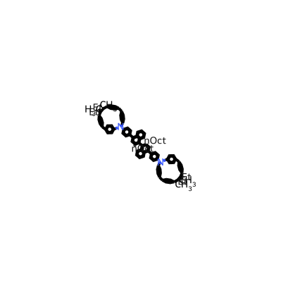 CCCCCCCCc1cc(-c2ccc(N3c4ccc(cc4)-c4ccc(cc4)C(C)(CC)C(C)(CC)c4ccc(cc4)-c4ccc3cc4)cc2)c2ccccc2c1-c1c(CCCCCCCC)cc(-c2ccc(N3c4ccc(cc4)-c4ccc(cc4)C(C)(CC)C(C)(CC)c4ccc(cc4)-c4ccc3cc4)cc2)c2ccccc12